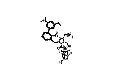 CCc1cc(-c2cccc(CN3O[C@@H](CN)[C@H]([C@H](C)O)[C@H]3C(=O)N[C@H]3C[C@H]4C[C@@H]([C@@H]3C)C4(C)C)c2OC)cc(N(C)C)c1